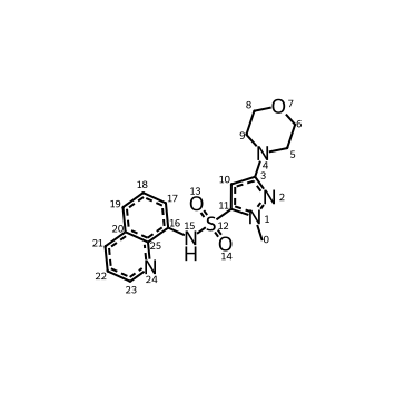 Cn1nc(N2CCOCC2)cc1S(=O)(=O)Nc1cccc2cccnc12